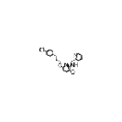 O=c1ccc(OCCCc2ccc(Cl)cc2)nn1NCc1ccccn1